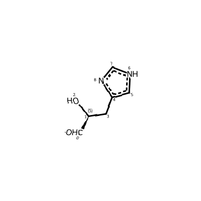 O=[C][C@@H](O)Cc1c[nH]cn1